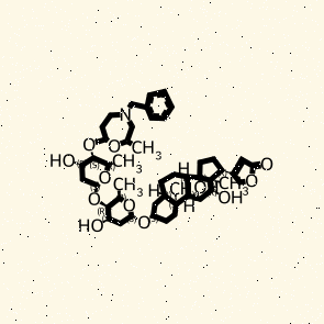 CC1CN(Cc2ccccc2)CCC(O[C@H]2[C@@H](O)C[C@H](O[C@@H]3[C@@H](O)C[C@@H](O[C@H]4CC[C@@]5(C)[C@H](CC[C@@H]6[C@@H]5C[C@@H](O)[C@]5(C)[C@@H](C7=CC(=O)OC7)CC[C@]65O)C4)O[C@@H]3C)O[C@@H]2C)O1